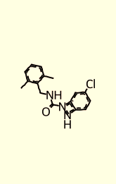 Cc1cccc(C)c1CNC(=O)n1[nH]c2ccc(Cl)cc21